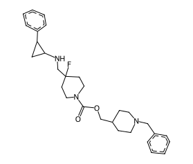 O=C(OCC1CCN(Cc2ccccc2)CC1)N1CCC(F)(CNC2CC2c2ccccc2)CC1